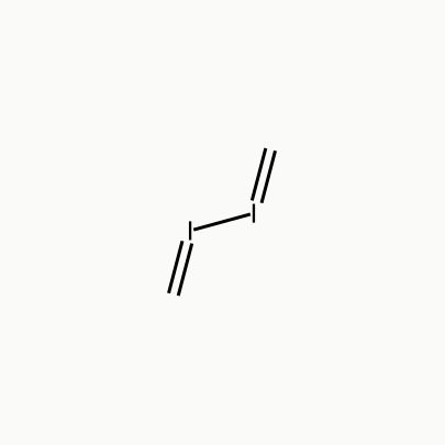 C=II=C